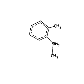 C[SiH2]c1ccccc1C